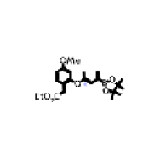 C=C(/C=C(\C)Oc1cc(OC)ccc1CC(=O)OCC)B1OC(C)(C)C(C)(C)O1